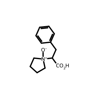 O=C(O)C(Cc1ccccc1)[N+]1([O-])CCCC1